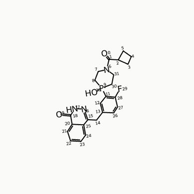 O=C(C1CCC1)N1CC[P](O)(c2cc(Cc3n[nH]c(=O)c4ccccc34)ccc2F)CC1